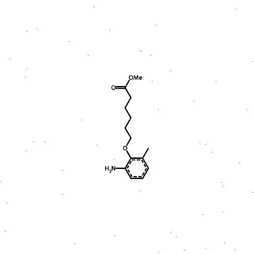 COC(=O)CCCCCOc1c(C)cccc1N